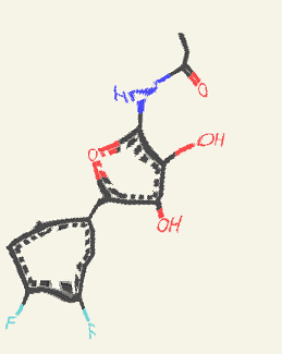 CC(=O)Nc1oc(-c2ccc(F)c(F)c2)c(O)c1O